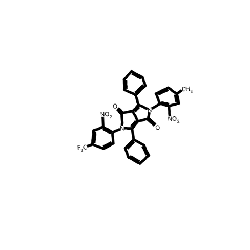 Cc1ccc(N2C(=O)C3=C(c4ccccc4)N(c4ccc(C(F)(F)F)cc4[N+](=O)[O-])C(=O)C3=C2c2ccccc2)c([N+](=O)[O-])c1